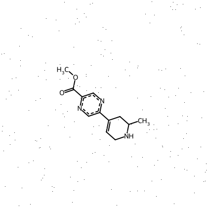 COC(=O)c1cnc(C2=CCNC(C)C2)cn1